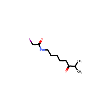 CC(C)C(=O)CCCCCNC(=O)CI